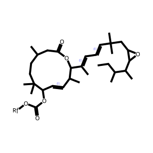 CCC(C)C(C)C1OC1CC(C)(C)/C=C/C=C(\C)C1OC(=O)CC(C)CCC(C)(C)C(OC(=O)[O][Rf])/C=C/C1C